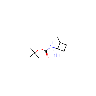 CC1CC[C@@]1(N)NC(=O)OC(C)(C)C